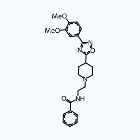 COc1ccc(-c2noc(C3CCN(CCNC(=O)c4ccccc4)CC3)n2)cc1OC